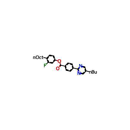 CCCCCCCCc1ccc(OC(=O)c2ccc(-c3ncc(CCCC)cn3)cc2)cc1F